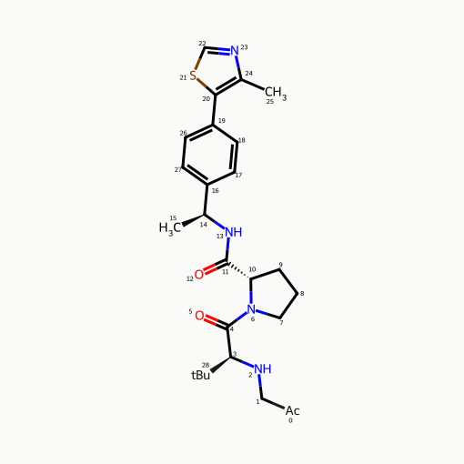 CC(=O)CN[C@H](C(=O)N1CCC[C@H]1C(=O)N[C@@H](C)c1ccc(-c2scnc2C)cc1)C(C)(C)C